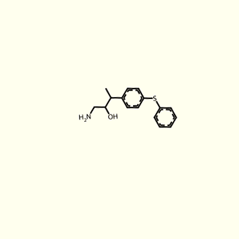 CC(c1ccc(Sc2ccccc2)cc1)C(O)CN